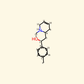 Cc1ccc([C@@H](O)CC2CC=CCN2C)cc1